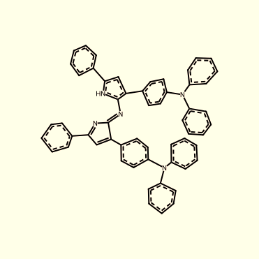 C1=C(c2ccc(N(c3ccccc3)c3ccccc3)cc2)/C(=N/c2[nH]c(-c3ccccc3)cc2-c2ccc(N(c3ccccc3)c3ccccc3)cc2)N=C1c1ccccc1